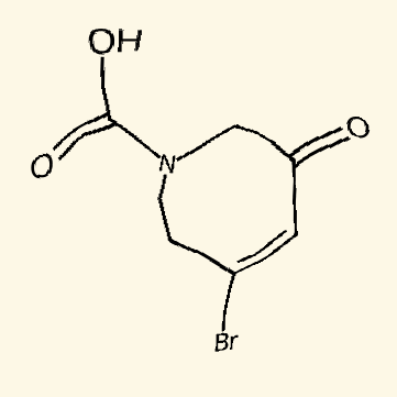 O=C1C=C(Br)CN(C(=O)O)C1